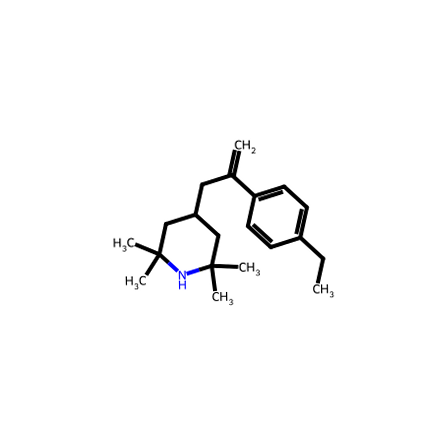 C=C(CC1CC(C)(C)NC(C)(C)C1)c1ccc(CC)cc1